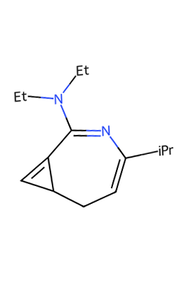 CCN(CC)C1=NC(C(C)C)=CCC2C=C12